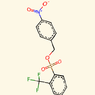 O=[N+]([O-])c1ccc(COS(=O)(=O)c2ccccc2C(F)(F)F)cc1